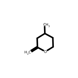 C=C1CC(C)CCO1